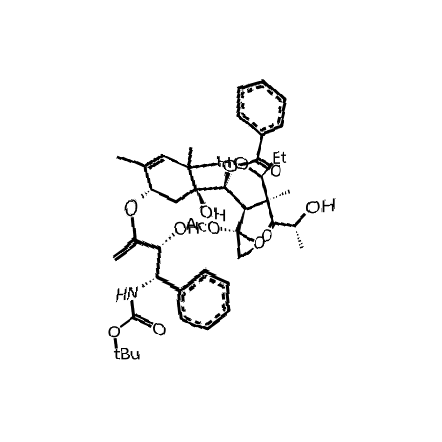 C=C(O[C@H]1C[C@@](O)([C@@H](OC(=O)c2ccccc2)[C@H]([C@]2(OC(C)=O)CO2)[C@](C)(C(=O)[C@@H](C)O)[C@@H](O)CC)C(C)(C)C=C1C)[C@H](O)[C@@H](NC(=O)OC(C)(C)C)c1ccccc1